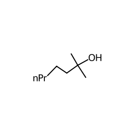 C[CH]CCCC(C)(C)O